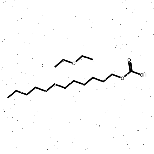 CCCCCCCCCCCCOC(=O)O.CCOCC